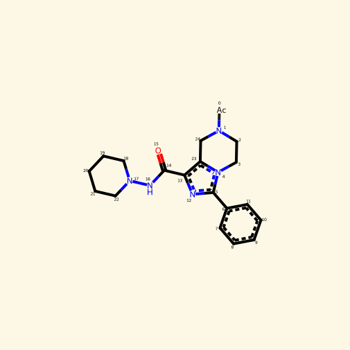 CC(=O)N1CCn2c(-c3ccccc3)nc(C(=O)NN3CCCCC3)c2C1